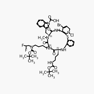 CN1C(=O)[C@H](CCCCN(CC(F)F)C(=O)OC(C)(C)C)NC(=O)[C@H](CCCNC(=O)OC(C)(C)C)NCc2ccccc2SC2=C(CNC(=O)[C@@H]1Cc1cn(C(=O)O)c3ccccc13)C(Br)=CCN2Cl